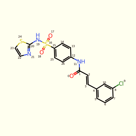 O=C(/C=C/c1cccc(Cl)c1)Nc1ccc(S(=O)(=O)Nc2nccs2)cc1